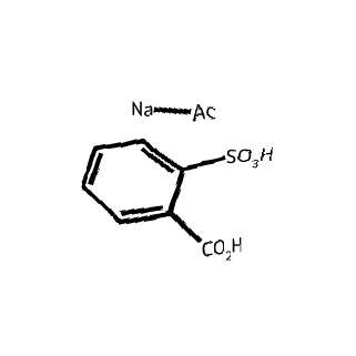 C[C](=O)[Na].O=C(O)c1ccccc1S(=O)(=O)O